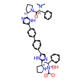 CC(c1ccccc1)[N+](O)(C(=O)[O-])N1CCC[C@H]1c1ncc(-c2ccc(-c3ccc(-c4cnc([C@@H]5CCCN5C(=O)[C@@H](c5ccccc5)N(C)C)[nH]4)cc3)cc2)[nH]1